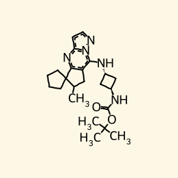 CC1Cc2c(nc3ccnn3c2N[C@H]2C[C@H](NC(=O)OC(C)(C)C)C2)C12CCCC2